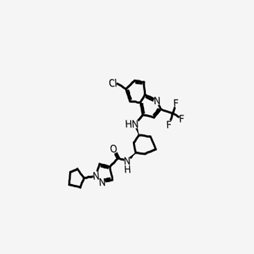 O=C(N[C@@H]1CCC[C@H](Nc2cc(C(F)(F)F)nc3ccc(Cl)cc23)C1)c1cnn(C2CCCC2)c1